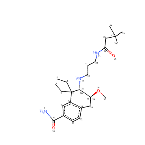 CCC1(CC)c2cc(C(N)=O)ccc2C[C@H](OC)[C@H]1NCCCNC(=O)CC(C)(C)C